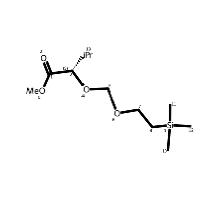 COC(=O)[C@@H](OCOCC[Si](C)(C)C)C(C)C